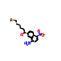 Nc1ccc([N+](=O)[O-])c2ccc(C(=O)CCCCCBr)cc12